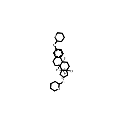 CC[C@]12CC[C@@H]3c4ccc(OC5CCCCO5)cc4CC[C@H]3[C@@H]1C[C@@H](OC1CCCCO1)C2